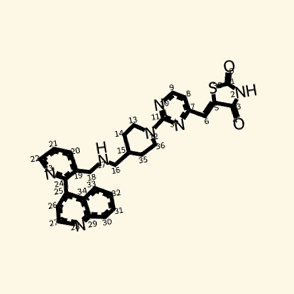 O=C1NC(=O)/C(=C/c2ccnc(N3CCC(CNCc4cccnc4-c4ccnc5ccccc45)CC3)n2)S1